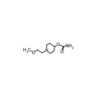 COCCN1CCC(OC(N)=O)CC1